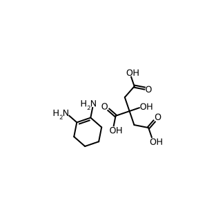 NC1=C(N)CCCC1.O=C(O)CC(O)(CC(=O)O)C(=O)O